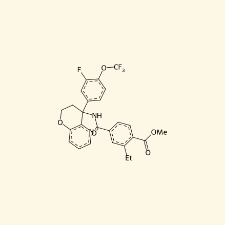 CCc1cc(C(=O)NC2(c3ccc(OC(F)(F)F)c(F)c3)CCOc3cccnc32)ccc1C(=O)OC